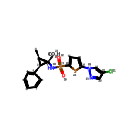 C[C@@H]1[C@H](c2ccccc2)[C@]1(NS(=O)(=O)c1ccc(-n2cc(Cl)cn2)s1)C(=O)O